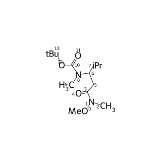 CON(C)C(=O)CC(C(C)C)N(C)C(=O)OC(C)(C)C